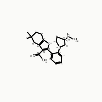 CC1(C)CCc2sc(-c3ccccc3N3CC[C@@H](NN)C3)c(C(=O)O)c2C1